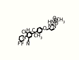 CC(C)(c1ccc(OCc2ccnc(NS(C)(=O)=O)n2)cc1)c1cc(Cl)c(N2CCCC(F)(F)C2)c(C#N)c1